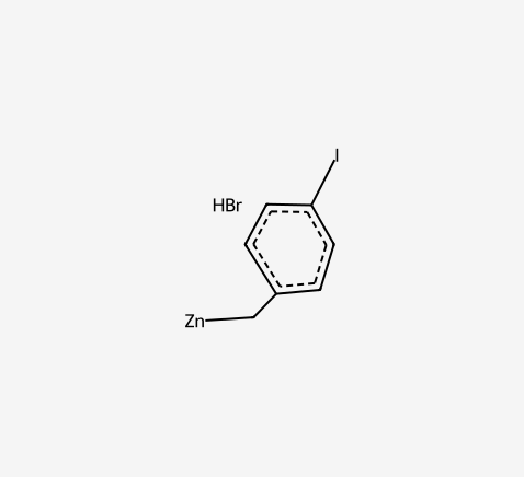 Br.[Zn][CH2]c1ccc(I)cc1